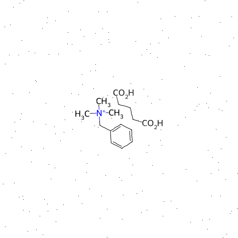 C[N+](C)(C)Cc1ccccc1.O=C(O)CCCC(=O)O